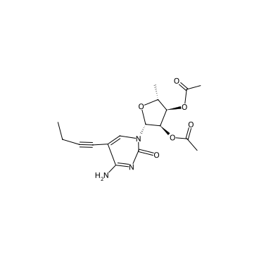 CCC#Cc1cn([C@@H]2O[C@H](C)[C@@H](OC(C)=O)[C@H]2OC(C)=O)c(=O)nc1N